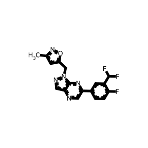 Cc1cc(Cn2ncc3ncc(-c4ccc(F)c(C(F)F)c4)nc32)on1